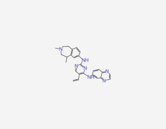 C=Cc1cnc(Nc2ccc3c(c2)C(C)CN(C)CC3)nc1Nc1ccc2nccnc2c1